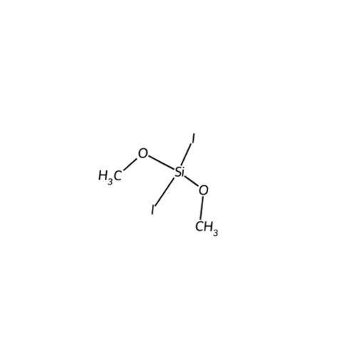 CO[Si](I)(I)OC